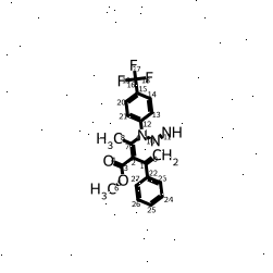 C=C(/C(C(=O)OC)=C(/C)N(N=N)c1ccc(C(F)(F)F)cc1)c1ccccc1